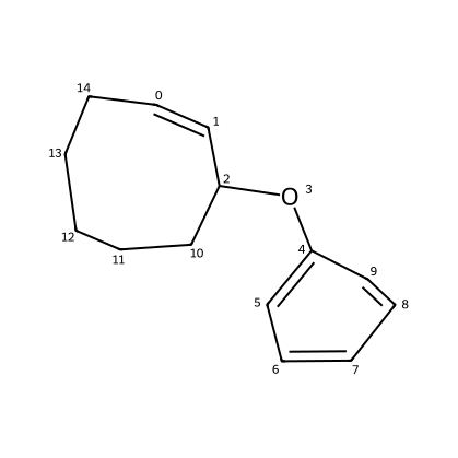 C1=C\C(Oc2ccccc2)CCCCC/1